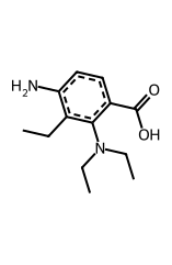 CCc1c(N)ccc(C(=O)O)c1N(CC)CC